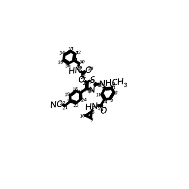 Cc1ccc(C(=O)NC2CC2)cc1Nc1nc(-c2ccc(CC#N)cc2)c(OC(=O)NCc2ccccc2)s1